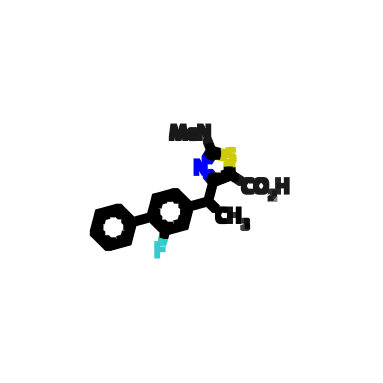 CNc1nc(C(C)c2ccc(-c3ccccc3)c(F)c2)c(C(=O)O)s1